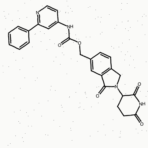 O=C1CCC(N2Cc3ccc(COC(=O)Nc4ccnc(-c5ccccc5)c4)cc3C2=O)C(=O)N1